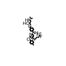 Cc1ccc(Cl)c(N(CCCC(F)(F)F)c2cc(Nc3ccc(OCC(O)CNC(C)C)cc3)ncn2)c1